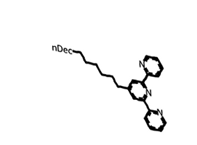 CCCCCCCCCCCCCCCCc1cc(-c2ccccn2)nc(-c2ccccn2)c1